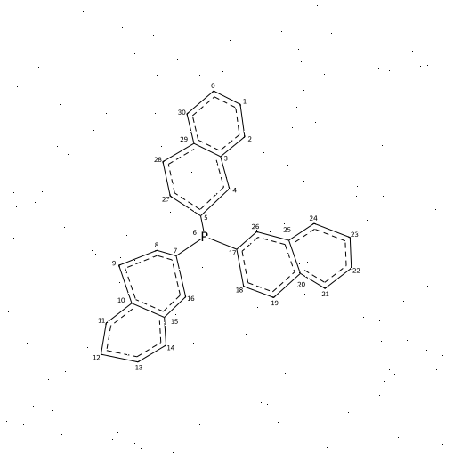 c1ccc2cc(P(c3ccc4ccccc4c3)c3ccc4ccccc4c3)ccc2c1